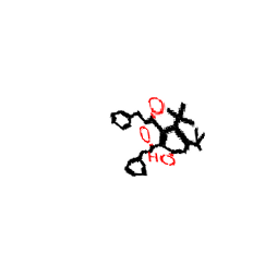 CC(C)(C)c1cc(O)c(C(=O)CCc2ccccc2)c(C(=O)CCc2ccccc2)c1C(C)(C)C